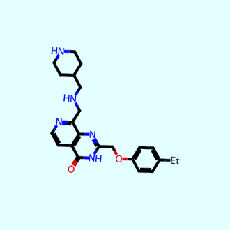 CCc1ccc(OCc2nc3c(CNCC4CCNCC4)nccc3c(=O)[nH]2)cc1